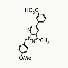 COc1ccc(Cn2nc(C)c3cc(-c4cccc(C(=O)O)c4)cnc32)cc1